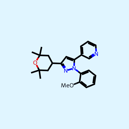 COc1ccccc1-n1nc(C2CC(C)(C)OC(C)(C)C2)cc1-c1cccnc1